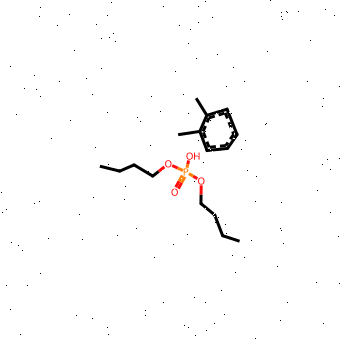 CCCCOP(=O)(O)OCCCC.Cc1ccccc1C